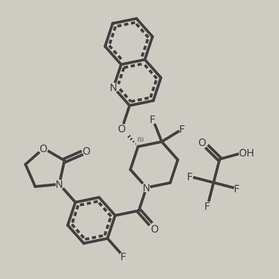 O=C(O)C(F)(F)F.O=C(c1cc(N2CCOC2=O)ccc1F)N1CCC(F)(F)[C@@H](Oc2ccc3ccccc3n2)C1